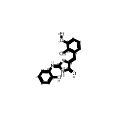 CCOc1cccc(/C=C2\S/C(=N/c3ccccc3Cl)NC2=O)c1Cl